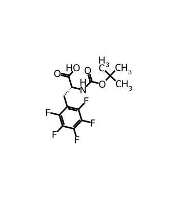 CC(C)(C)OC(=O)N[C@H](Cc1c(F)c(F)c(F)c(F)c1F)C(=O)O